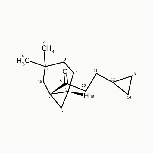 CC1(C)CC[C@@H]2C[C@]2(C(=O)CCC2CC2)C1